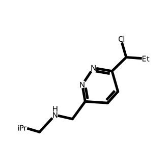 CCC(Cl)c1ccc(CNCC(C)C)nn1